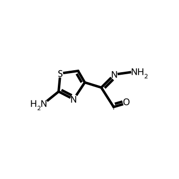 NN=C([C]=O)c1csc(N)n1